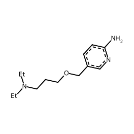 CCN(CC)CCCOCc1ccc(N)nc1